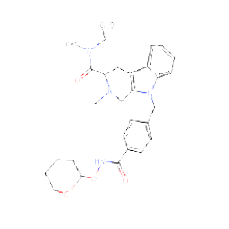 CCCN(CC=O)C(=O)C1Cc2c(n(Cc3ccc(C(=O)NOC4CCCCO4)cc3)c3ccccc23)CN1C